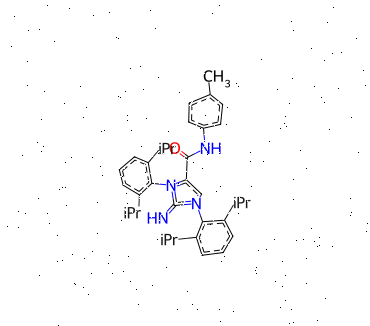 Cc1ccc(NC(=O)c2cn(-c3c(C(C)C)cccc3C(C)C)c(=N)n2-c2c(C(C)C)cccc2C(C)C)cc1